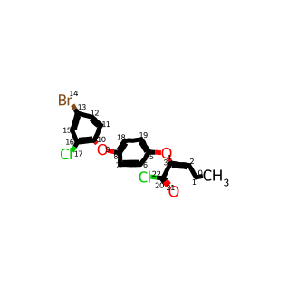 CCC=C(Oc1ccc(Oc2ccc(Br)cc2Cl)cc1)C(=O)Cl